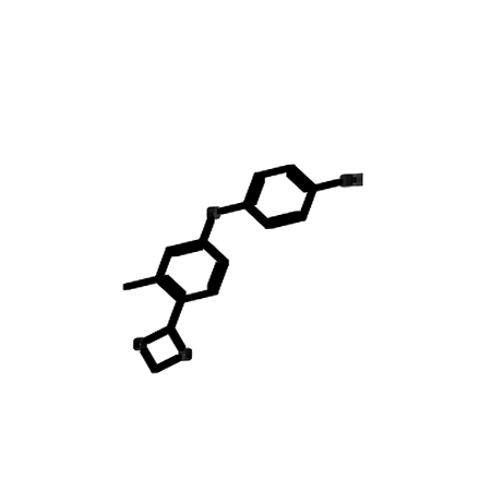 Cc1cc(Oc2ccc(O)cc2)ccc1C1OCO1